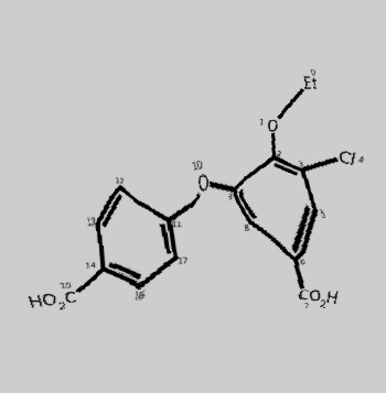 CCOc1c(Cl)cc(C(=O)O)cc1Oc1ccc(C(=O)O)cc1